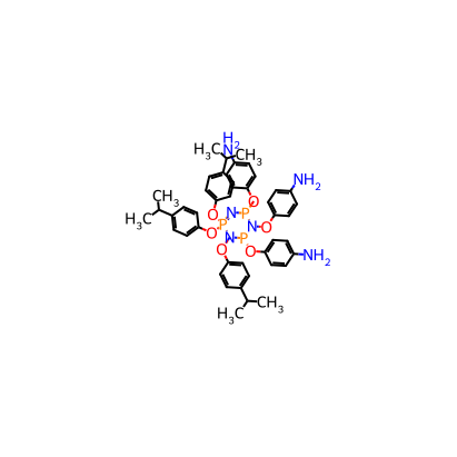 CC(C)c1ccc(ON2P(Oc3ccc(N)cc3)N(Oc3ccc(N)cc3)P(Oc3ccc(N)cc3)N=P2(Oc2ccc(C(C)C)cc2)Oc2ccc(C(C)C)cc2)cc1